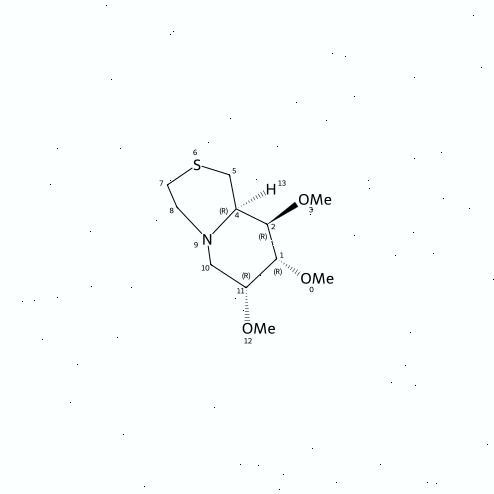 CO[C@H]1[C@H](OC)[C@@H]2CSCCN2C[C@H]1OC